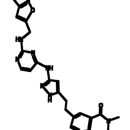 Cc1cc(CNc2nccc(Nc3cc(CCc4cccc(C(=O)N(C)C)c4)[nH]n3)n2)on1